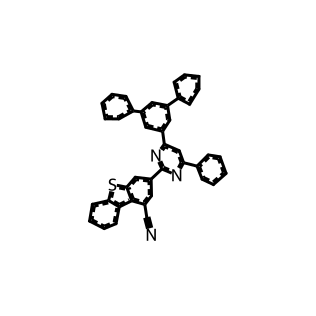 N#Cc1cc(-c2nc(-c3ccccc3)cc(-c3cc(-c4ccccc4)cc(-c4ccccc4)c3)n2)cc2sc3ccccc3c12